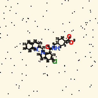 COC(=O)[C@H]1CC[C@@H](CNC(=O)c2cc(Cl)cc3ccn(Cc4ccc5ccccc5n4)c23)CC1